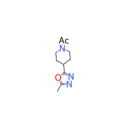 CC(=O)N1CCC(c2nnc(C)o2)CC1